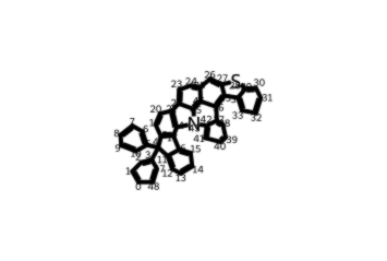 c1ccc(C2(c3ccccc3)c3ccccc3-c3c2ccc2c4ccc5cc6sc7ccccc7c6c6c7ccccc7n(c32)c4c56)cc1